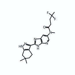 CN(C(=O)CCC(C)(F)F)c1cnc2[nH]c(-c3n[nH]c4c3CCC(C)(C)C4)nc2c1